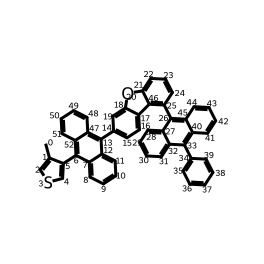 Cc1cscc1-c1c2ccccc2c(-c2ccc3c(c2)oc2cccc(-c4c5ccccc5c(-c5ccccc5)c5ccccc45)c23)c2ccccc12